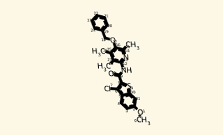 COc1ccc2c(Cl)c(C(=O)Nc3nc(C)c(OCc4ccccc4)c(C)c3C)sc2c1